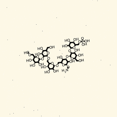 NO[C@@H]1OC(CO[C@H]2OC(CO[C@H]3OC(CO)[C@@H](O)[C@H](O)C3O[C@@H]3OC(COO)[C@@H](O)[C@H](O)C3O)[C@@H](O)[C@H](O)C2O)[C@@H](O)[C@H](O[C@H]2OC(CO)[C@@H](O)[C@H](O)C2O[C@H]2OC(COP(=O)(O)O)[C@@H](O)[C@H](O)C2O)C1O